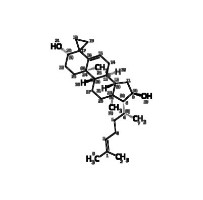 CC(C)=CCC[C@@H](C)[C@H]1[C@H](O)C[C@H]2[C@@H]3CC=C4C5(CC5)[C@@H](O)CC[C@]4(C)[C@H]3CC[C@]12C